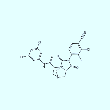 Cc1c(N2C(=O)C3CN4CC(C(=O)Nc5cc(Cl)cc(Cl)c5)[N+]3(C4)C2=O)ccc(C#N)c1Cl